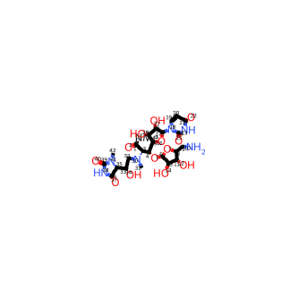 CNC(=O)[C@H]([C@H](OC1OC(CN)C(O)C1O)C1OC(n2ccc(=O)[nH]c2=O)C(O)C1O)N(C)C[C@H](O)[C@H]1C(=O)NC(=O)N1C